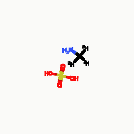 O=S(=O)(O)O.[2H]C([2H])([2H])N